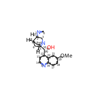 C=N[C@H]1CN2CC[C@H]1C[C@H]2[C@H](O)c1ccnc2ccc(OC)cc12